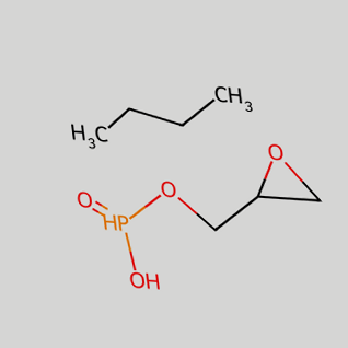 CCCC.O=[PH](O)OCC1CO1